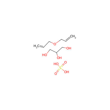 C=CCOCC=C.O=S(=O)(O)O.OCC(O)CO